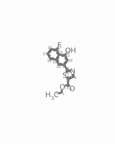 CCOC(=O)c1cnc(-c2cc(O)c3c(F)cccc3c2)s1